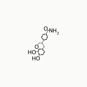 NC(=O)c1ccc(C2COc3c(ccc(O)c3O)C2)cc1